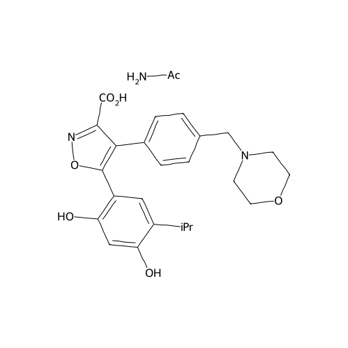 CC(C)c1cc(-c2onc(C(=O)O)c2-c2ccc(CN3CCOCC3)cc2)c(O)cc1O.CC(N)=O